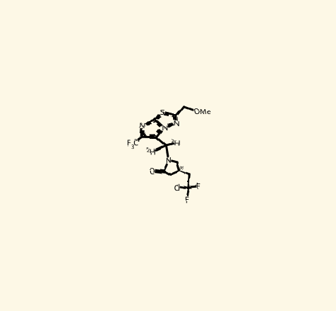 [2H]C([2H])(c1c(C(F)(F)F)nc2sc(COC)nn12)N1C[C@@H](CC(F)(F)Cl)CC1=O